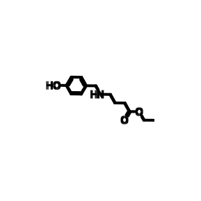 CCOC(=O)CCCNCc1ccc(O)cc1